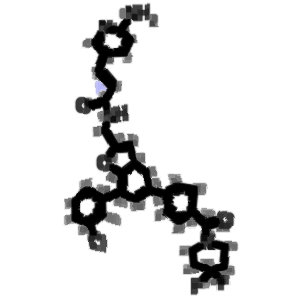 Nc1ccc(/C=C/C(=O)NCC2=CC3CC(c4ccc(C(=O)N5CCC(F)(F)CC5)cc4)=CC(c4cccc(Cl)c4)=C3O2)cn1